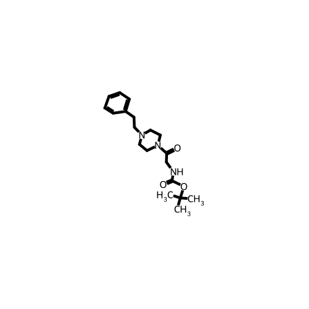 CC(C)(C)OC(=O)NCC(=O)N1CCN(CCc2ccccc2)CC1